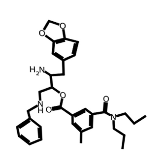 CCCN(CCC)C(=O)c1cc(C)cc(C(=O)OC(CNCc2ccccc2)C(N)Cc2ccc3c(c2)OCO3)c1